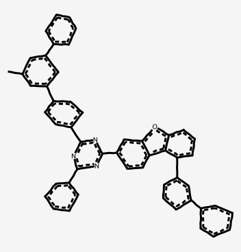 Cc1cc(-c2ccccc2)cc(-c2ccc(-c3nc(-c4ccccc4)nc(-c4ccc5c(c4)oc4cccc(-c6cccc(-c7ccccc7)c6)c45)n3)cc2)c1